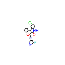 Cc1ccc(-c2c(C(=O)/C=C/c3cncc(F)c3)c(=O)[nH]c3ccc(Cl)cc23)cc1